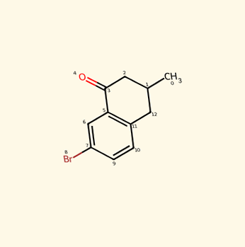 CC1CC(=O)c2cc(Br)ccc2C1